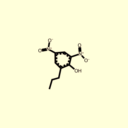 CCCc1cc([N+](=O)[O-])cc([N+](=O)[O-])c1O